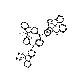 CC1(C)c2ccccc2-c2ccc(N(c3ccccc3)c3cccc(N(c4cccc(-c5cccc6c5C5(c7ccccc7Oc7ccccc75)c5ccccc5-6)c4)c4ccc5c(c4)C(C)(C)c4ccccc4-5)c3)cc21